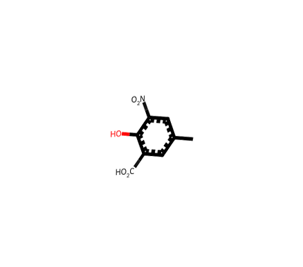 Cc1cc(C(=O)O)c(O)c([N+](=O)[O-])c1